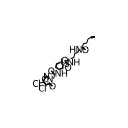 C#CCCCC(=O)NCCCCNS(=O)(=O)c1cc(NC(=O)Cn2ncc(Cl)c(Cl)c2=O)ccc1C